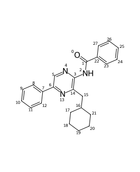 O=C(Nc1ncc(-c2ccccc2)nc1CC1CCCCC1)c1ccccc1